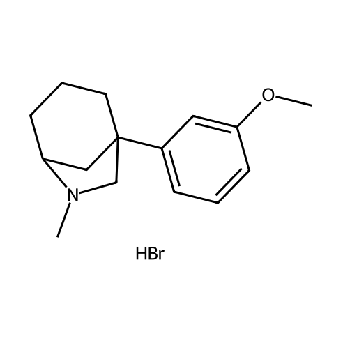 Br.COc1cccc(C23CCCC(C2)N(C)C3)c1